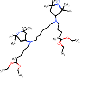 CCOC(OCC)[SiH2]CCCN(CCCCCCN(CCC[SiH2]C(OCC)OCC)C1CC(C)(C)NC(C)(C)C1)C1CC(C)(C)NC(C)(C)C1